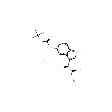 COC(=O)C(=O)c1c[nH]c2ccc(NC(=O)OC(C)(C)C)cc12.Cl